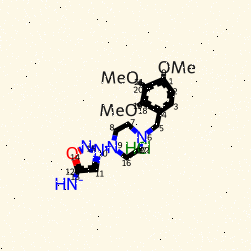 COc1ccc(CN2CCN([n+]3cc([NH-])on3)CC2)c(OC)c1OC.Cl